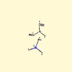 CC(=O)N(C)C.COC(C)OC